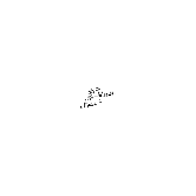 [Fe+2].[Mn+2].[S-2].[S-2]